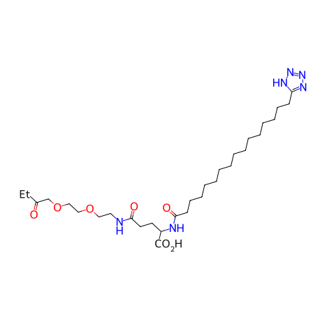 CCC(=O)COCCOCCNC(=O)CCC(NC(=O)CCCCCCCCCCCCCCCc1nnn[nH]1)C(=O)O